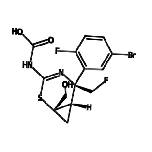 O=C(O)NC1=N[C@](CF)(c2cc(Br)ccc2F)[C@@H]2C[C@]2(CO)S1